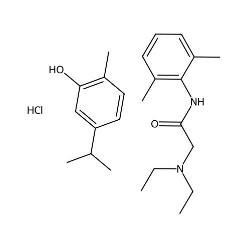 CCN(CC)CC(=O)Nc1c(C)cccc1C.Cc1ccc(C(C)C)cc1O.Cl